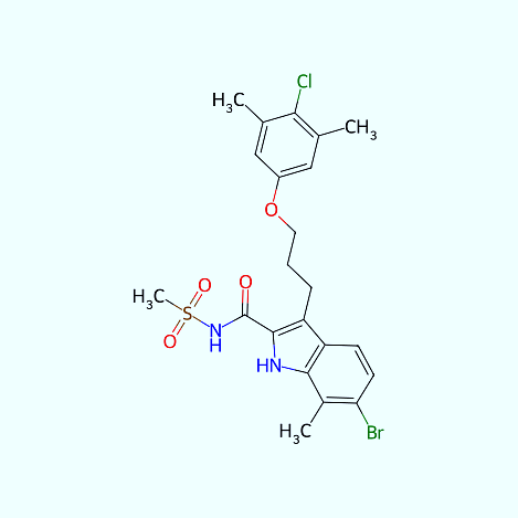 Cc1cc(OCCCc2c(C(=O)NS(C)(=O)=O)[nH]c3c(C)c(Br)ccc23)cc(C)c1Cl